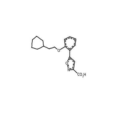 O=C(O)c1cc(-c2ccccc2OCCC2CCCCC2)on1